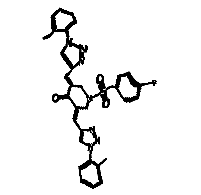 Cc1ccccc1-n1cc(C=C2CN(S(=O)(=O)c3ccc(F)cc3)CC(=Cc3cn(-c4ccccc4C)nn3)C2=O)nn1